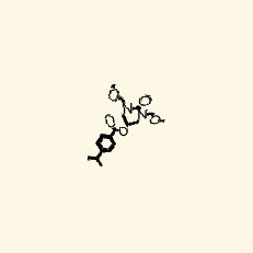 COCN1CC(OC(=O)c2ccc(C(C)C)cc2)CN(COC)C1=O